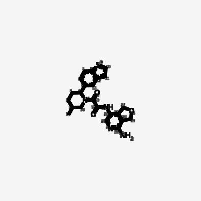 CC1CCC(c2ccc3sccc3c2)N(C(=O)C(=O)Nc2cnc(N)c3c2COC3)C1